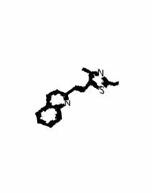 Cc1nc(C)c(C=Cc2ccc3ccccc3n2)s1